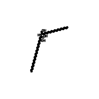 CCCCCCCCCCCCCCCCCCCCC(O)CC(=O)NC(CO)C(O)CCCCCCCCCCCCCCC